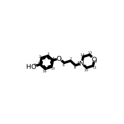 Oc1ccc(OCCCN2CCOCC2)cc1